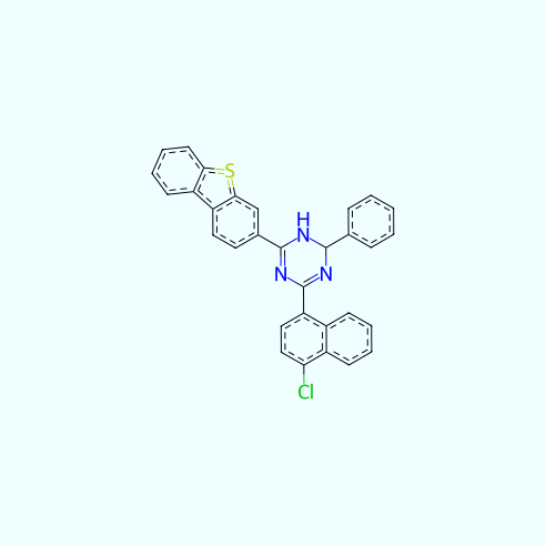 Clc1ccc(C2=NC(c3ccccc3)NC(c3ccc4c(c3)sc3ccccc34)=N2)c2ccccc12